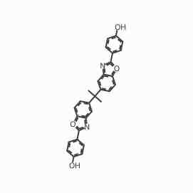 CC(C)(c1ccc2oc(-c3ccc(O)cc3)nc2c1)c1ccc2oc(-c3ccc(O)cc3)nc2c1